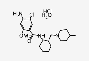 COc1cc(N)c(Cl)cc1C(=O)N[C@@H]1CCCC[C@@H]1CN1CCC(C)CC1.Cl.O